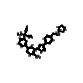 CC(C)(C#N)c1cc(-c2cnc(N)c(-c3cc(-c4ccc(CN[C@@H]5CCOC5)cc4)no3)n2)ccn1